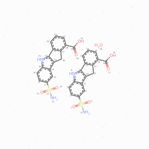 NS(=O)(=O)c1ccc2[nH]c3c(c2c1)Cc1c(C(=O)O)cccc1-3.NS(=O)(=O)c1ccc2[nH]c3c(c2c1)Cc1c(C(=O)O)cccc1-3.O